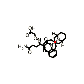 NC(=O)CC/C(=N\OCC(=O)O)c1nc2ccccc2n([C@H]2C[C@H]3CCC[C@@H](C2)N3C2CCCCCCCC2)c1=O